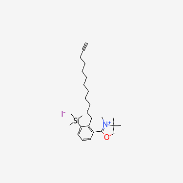 C#CCCCCCCCCCCc1c(C2=[N+](C)C(C)(C)CO2)cccc1[Si](C)(C)C.[I-]